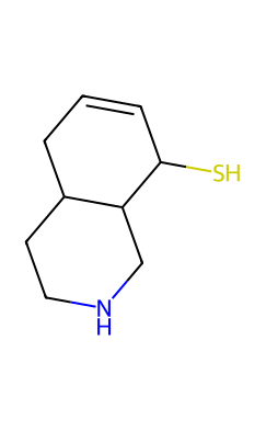 SC1C=CCC2CCNCC12